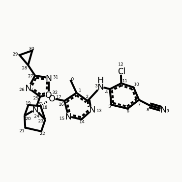 Cc1c(Nc2ccc(C#N)cc2Cl)ncnc1O[C@H]1CC2CCC1N2c1nc(C2CC2)no1